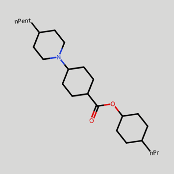 CCCCCC1CCN(C2CCC(C(=O)OC3CCC(CCC)CC3)CC2)CC1